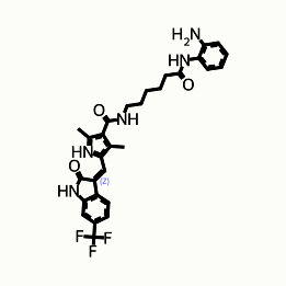 Cc1[nH]c(/C=C2\C(=O)Nc3cc(C(F)(F)F)ccc32)c(C)c1C(=O)NCCCCCC(=O)Nc1ccccc1N